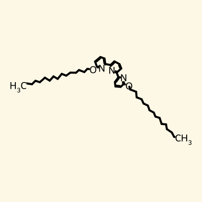 CCCCCCCCCCCCCCCCOc1cccc(-c2cccc(-c3cccc(OCCCCCCCCCCCCCCCC)n3)n2)n1